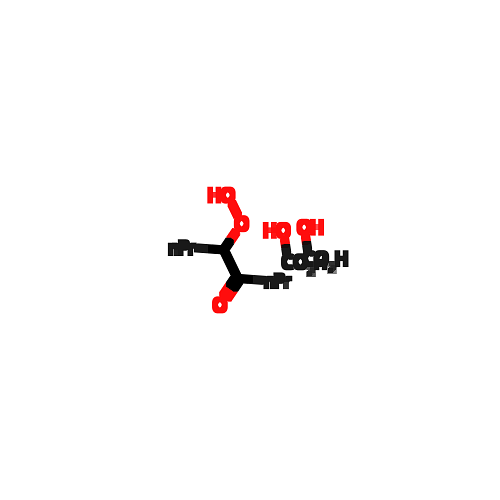 CCCC(=O)C(CCC)OO.O=C(O)O.O=C(O)O